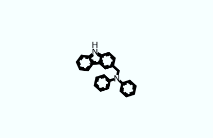 c1ccc(N(Cc2ccc3[nH]c4ccccc4c3c2)c2ccccc2)cc1